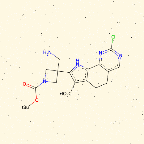 CC(C)(C)OC(=O)N1CC(CN)(c2[nH]c3c(c2C(=O)O)CCc2cnc(Cl)nc2-3)C1